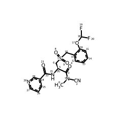 CN(C#N)C(=O)[C@H](CS(=O)(=O)Cc1ccccc1OC(F)F)NC(=O)c1cccnc1